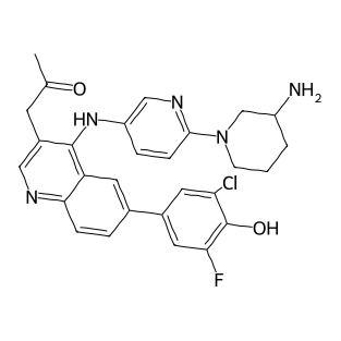 CC(=O)Cc1cnc2ccc(-c3cc(F)c(O)c(Cl)c3)cc2c1Nc1ccc(N2CCCC(N)C2)nc1